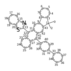 CC1(C)c2ccccc2-c2cc3c(-c4nc5ccccc5s4)c4ccccc4c(-c4ccc(-c5ccccc5)cc4)c3cc21